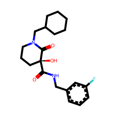 O=C(NCc1cccc(F)c1)[C@]1(O)CCCN(CC2CCCCC2)C1=O